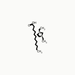 C=CN1C=CN(CC)C1.CCCCCCCCCCCC(=O)O